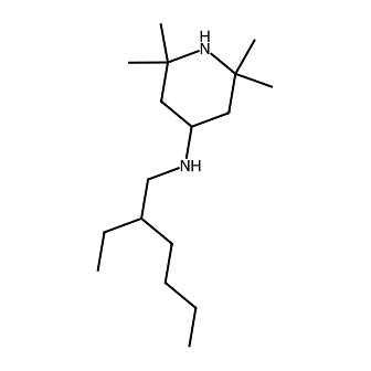 CCCCC(CC)CNC1CC(C)(C)NC(C)(C)C1